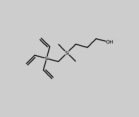 C=C[Si](C=C)(C=C)C[Si](C)(C)CCCO